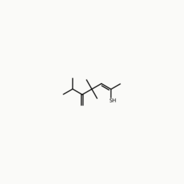 C=C(C(C)C)C(C)(C)/C=C(/C)S